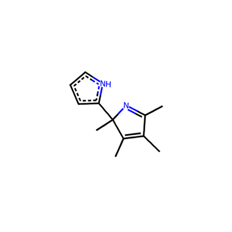 CC1=NC(C)(c2ccc[nH]2)C(C)=C1C